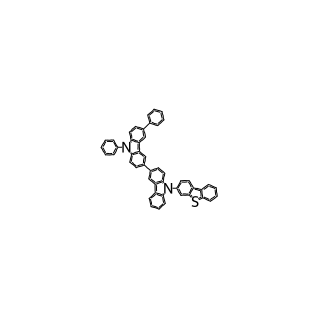 c1ccc(-c2ccc3c(c2)c2cc(-c4ccc5c(c4)c4ccccc4n5-c4ccc5c(c4)sc4ccccc45)ccc2n3-c2ccccc2)cc1